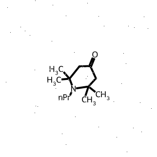 [CH2]CCN1C(C)(C)CC(=O)CC1(C)C